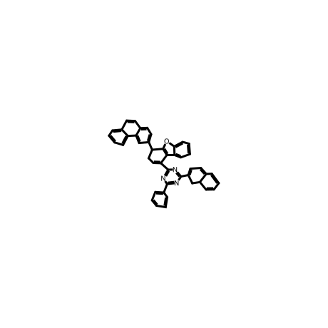 C1=CC2=CC=C(c3nc(C4=CCC(c5ccc6ccc7ccccc7c6c5)c5oc6ccccc6c54)nc(-c4ccccc4)n3)CC2C=C1